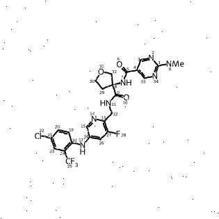 CNc1ncc(C(=O)N[C@@]2(C(=O)NCc3ncc(Nc4ccc(Cl)cc4C(F)(F)F)cc3F)CCOC2)cn1